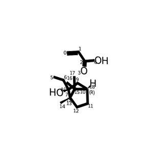 C=CC(=O)O.CC[C@]1(O)C[C@H]2CC[C@@]1(C)C2(C)C